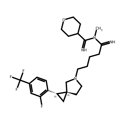 CN(C(=N)CCCCN1CC[C@]2(C[C@@H]2c2ccc(C(F)(F)F)cc2F)C1)C(=N)C1CCOCC1